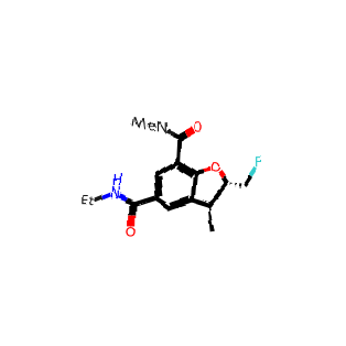 CCNC(=O)c1cc(C(=O)NC)c2c(c1)[C@H](C)[C@@H](CF)O2